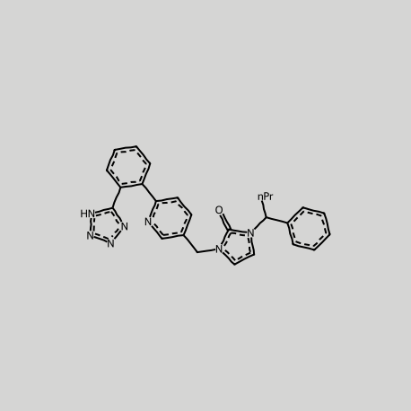 CCCC(c1ccccc1)n1ccn(Cc2ccc(-c3ccccc3-c3nnn[nH]3)nc2)c1=O